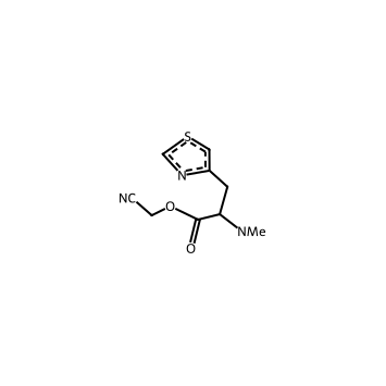 CNC(Cc1cscn1)C(=O)OCC#N